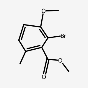 COC(=O)c1c(C)ccc(OC)c1Br